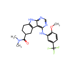 COc1ccc(C(F)(F)F)cc1Nc1ncnc2[nH]c3c(c12)CC(C(=O)N(C)C)CC3